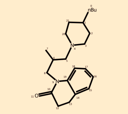 CCCCC1CCN(CC(C)CN2C(=O)CCc3ccccc32)CC1